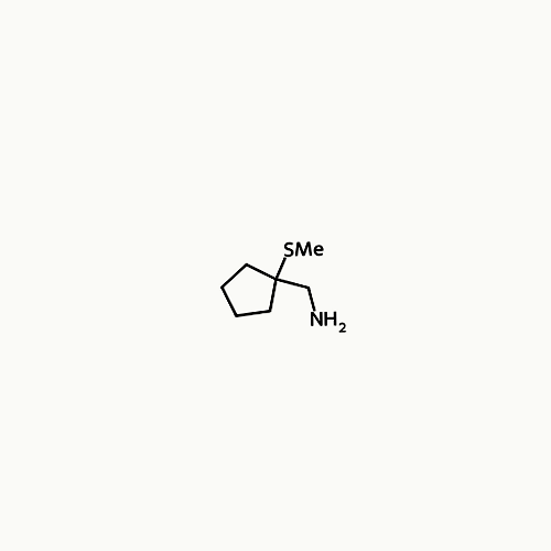 CSC1(CN)CCCC1